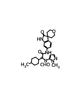 CC1CCC([C@@H](C(=O)Nc2ccc3c(c2)NC(=O)C32CCOCC2)N(C=O)c2ccnn2C)CC1